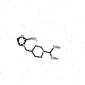 COC(OC)N1CCC(Cn2ccnc2[N+](=O)[O-])CC1